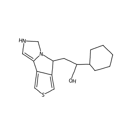 OC(CC1c2cscc2C2=CNCN21)C1CCCCC1